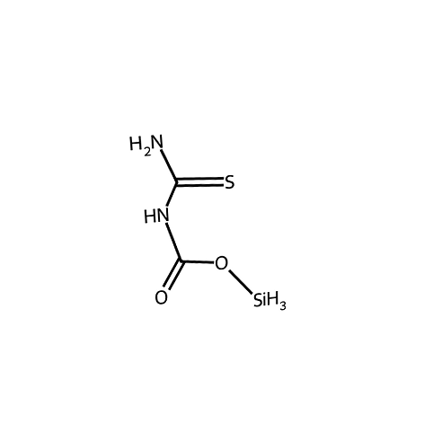 NC(=S)NC(=O)O[SiH3]